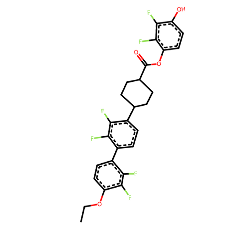 CCOc1ccc(-c2ccc(C3CCC(C(=O)Oc4ccc(O)c(F)c4F)CC3)c(F)c2F)c(F)c1F